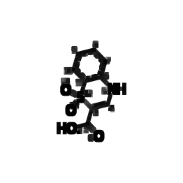 O=C(O)C1=CNc2ccccc2S1(=O)=O